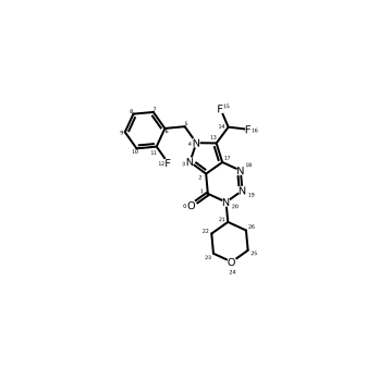 O=c1c2nn(Cc3ccccc3F)c(C(F)F)c2nnn1C1CCOCC1